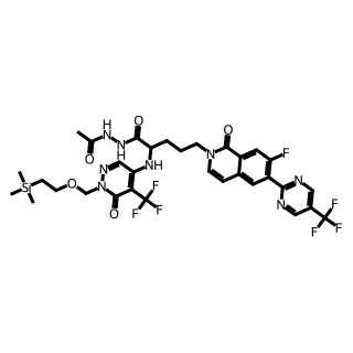 CC(=O)NNC(=O)C(CCCn1ccc2cc(-c3ncc(C(F)(F)F)cn3)c(F)cc2c1=O)Nc1cnn(COCC[Si](C)(C)C)c(=O)c1C(F)(F)F